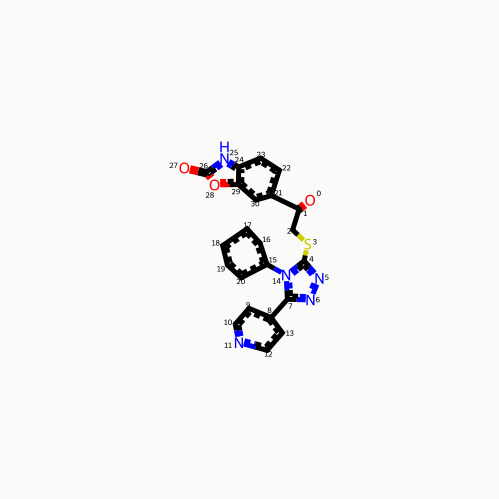 O=C(CSc1nnc(-c2ccncc2)n1-c1ccccc1)c1ccc2[nH]c(=O)oc2c1